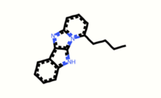 CCCCc1cccc2nc3c4ccccc4[nH]c3n12